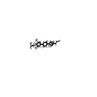 CCCC12CCC(c3ccc(-c4cc(F)c(O/C=C(/C)F)c(F)c4)cc3)(OC1)OC2